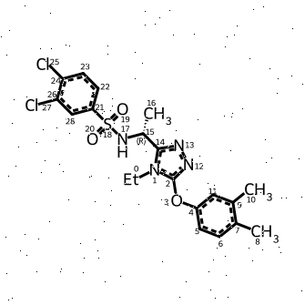 CCn1c(Oc2ccc(C)c(C)c2)nnc1[C@@H](C)NS(=O)(=O)c1ccc(Cl)c(Cl)c1